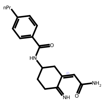 CCCc1ccc(C(=O)NC2CCC(=N)/C(=C\C(N)=O)C2)cc1